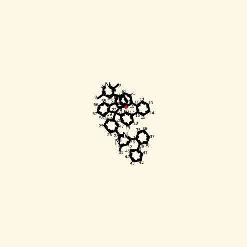 Cc1cnc(C)c(-c2ccc(-c3ccccc3-c3cccc(C4(c5cccc(-c6nc(C)cc(-c7ccccc7-c7ccccc7)n6)c5)c5ccccc5-c5ccccc54)c3)cc2)c1